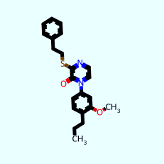 CCCc1ccc(-n2ccnc(SCCc3ccccc3)c2=O)cc1OC